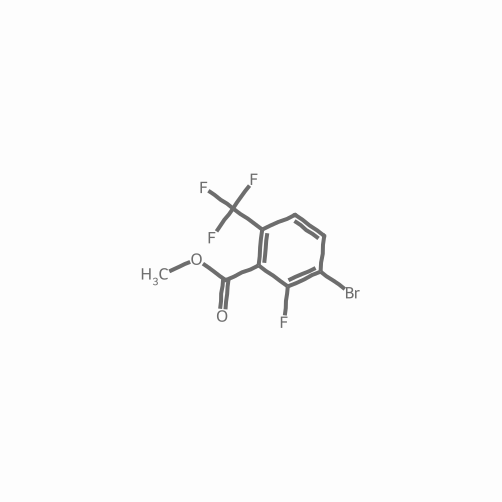 COC(=O)c1c(C(F)(F)F)ccc(Br)c1F